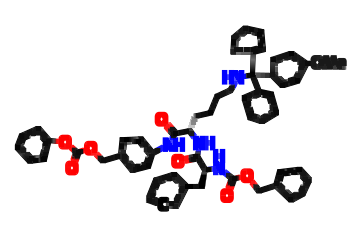 COc1ccc(C(NCCCC[C@H](NC(=O)[C@H](Cc2ccccc2)NC(=O)OCc2ccccc2)C(=O)Nc2ccc(COC(=O)Oc3ccccc3)cc2)(c2ccccc2)c2ccccc2)cc1